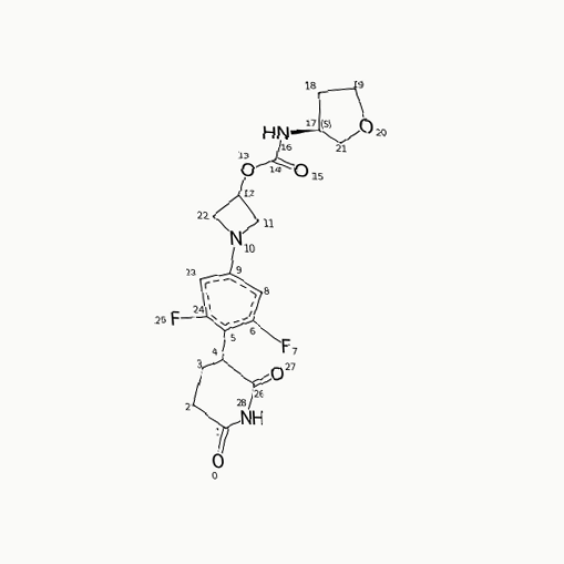 O=C1CCC(c2c(F)cc(N3CC(OC(=O)N[C@H]4CCOC4)C3)cc2F)C(=O)N1